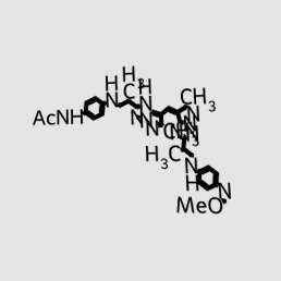 CO/C=N\c1ccc(NCC(C)c2nc3/c(=C\c4c(C)nn5nc(C(C)CNc6ccc(NC(C)=O)cc6)[nH]c45)c(C)nn3n2)cc1